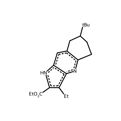 CCOC(=O)c1[nH]c2cc3c(nc2c1CC)CCC(C(C)(C)C)C3